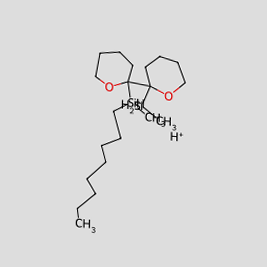 CCCCCCCC[SiH](C)C1(C2([SiH2]C)CCCCO2)CCCCO1.[H+]